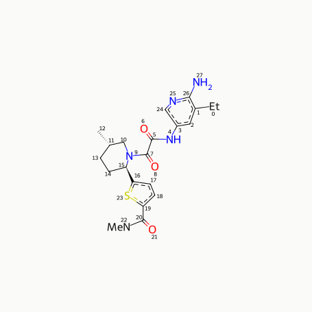 CCc1cc(NC(=O)C(=O)N2C[C@@H](C)CC[C@@H]2c2ccc(C(=O)NC)s2)cnc1N